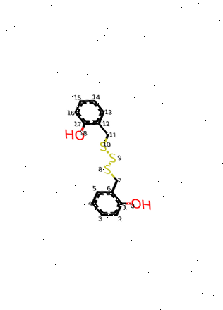 Oc1ccccc1CSSSCc1ccccc1O